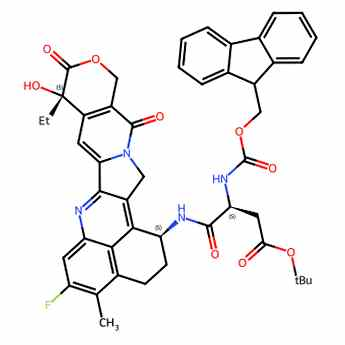 CC[C@@]1(O)C(=O)OCc2c1cc1n(c2=O)Cc2c-1nc1cc(F)c(C)c3c1c2[C@@H](NC(=O)[C@H](CC(=O)OC(C)(C)C)NC(=O)OCC1c2ccccc2-c2ccccc21)CC3